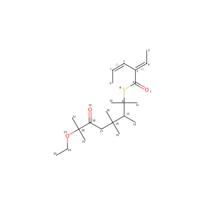 C/C=C\C(=C/C)C(=O)SC(C)(C)C(C)C(C)(C)CC(=O)C(C)(C)OCC